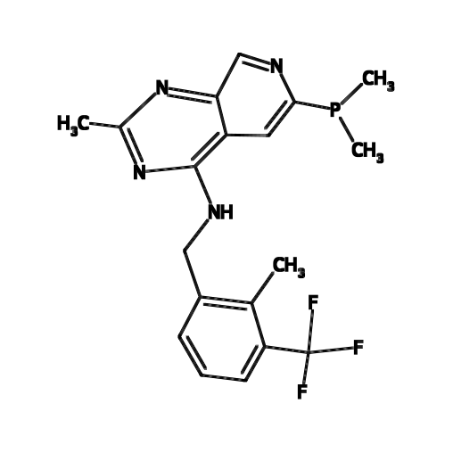 Cc1nc(NCc2cccc(C(F)(F)F)c2C)c2cc(P(C)C)ncc2n1